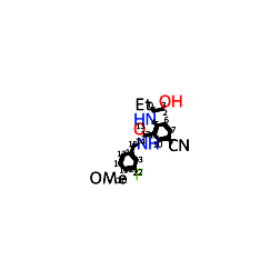 CCC(CO)Nc1ccc(C#N)cc1C(=O)NCc1ccc(OC)c(F)c1